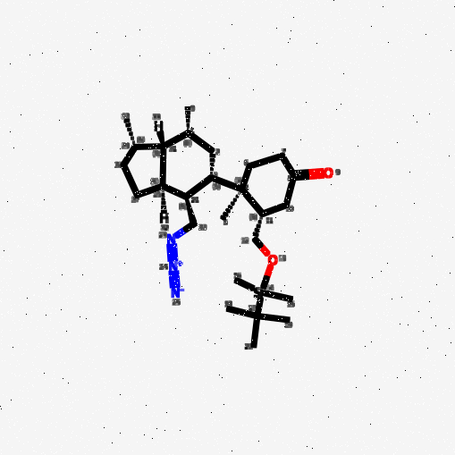 C[C@@H]1C[C@H]([C@@]2(C)CCC(=O)C[C@@H]2CO[Si](C)(C)C(C)(C)C)[C@@H](CN=[N+]=[N-])[C@H]2CC[C@H](C)[C@@H]21